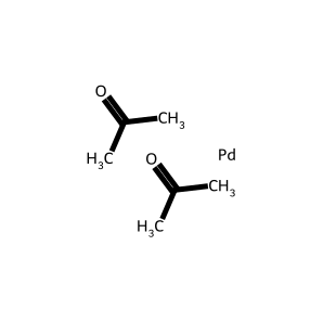 CC(C)=O.CC(C)=O.[Pd]